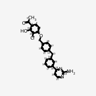 CC(=O)c1ccc(OCc2ccc(Cc3cccc(-c4ccnc(N)n4)c3)cc2)c(Cl)c1O